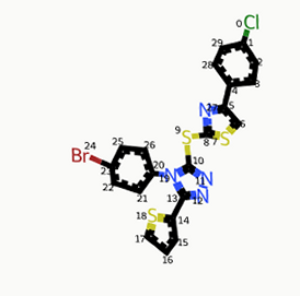 Clc1ccc(-c2csc(Sc3nnc(-c4cccs4)n3-c3ccc(Br)cc3)n2)cc1